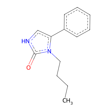 CCCCn1c(-c2ccccc2)c[nH]c1=O